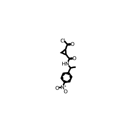 CC(NC(=O)C1CC1C(=O)Cl)c1ccc([N+](=O)[O-])cc1